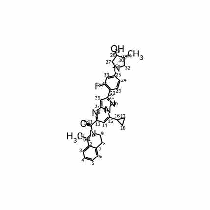 C[C@@H]1c2ccccc2CCN1C(=O)c1cc(C2CC2)n2nc(-c3ccc(N4CC(O)[C@@H](C)C4)cc3F)cc2n1